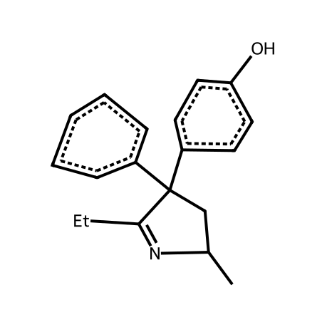 CCC1=NC(C)CC1(c1ccccc1)c1ccc(O)cc1